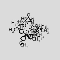 COc1ccc(C(OC[C@H]2O[C@@H](n3cnc4c(=O)[nH]c(NC(=O)C(C)C)nc43)[C@H](O[Si](C)(C)C(C)(C)C)[C@@H]2O[Si](C)(C)C(C)(C)C)(c2ccccc2)c2ccc(OC)cc2)cc1